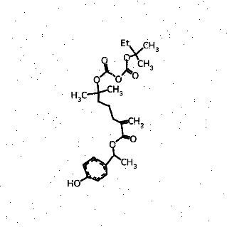 C=C(CCCC(C)(C)OC(=O)OC(=O)OC(C)(C)CC)C(=O)OC(C)c1ccc(O)cc1